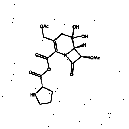 CO[C@H]1C(=O)N2C(C(=O)OC(=O)[C@@H]3CCCN3)=C(COC(C)=O)CS(O)(O)[C@H]12